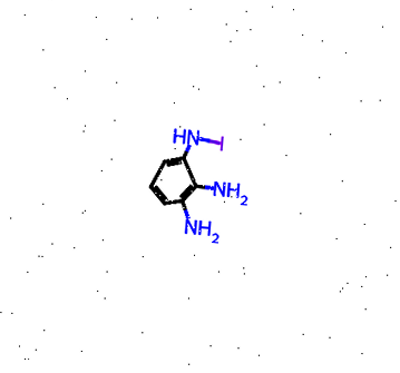 Nc1cccc(NI)c1N